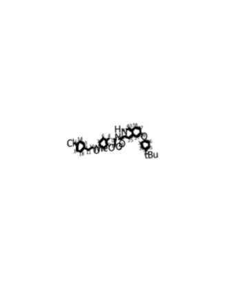 COC(=O)[C@H](Cc1ccc(OCCc2ccc(Cl)cc2)cc1)NC(=O)c1cc2cc(Oc3ccc(C(C)(C)C)cc3)ccc2cn1